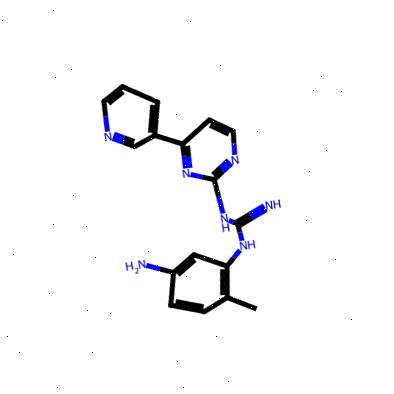 Cc1ccc(N)cc1NC(=N)Nc1nccc(-c2cccnc2)n1